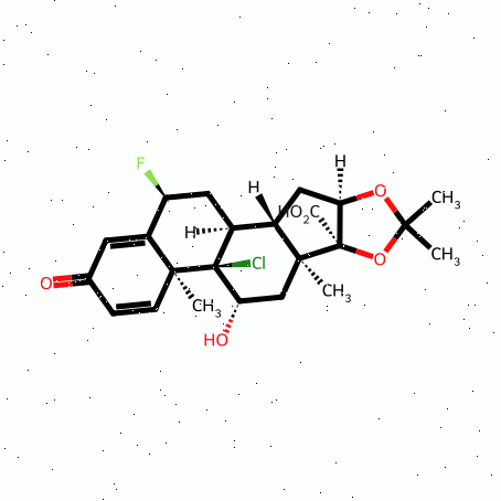 CC1(C)O[C@@H]2C[C@H]3[C@@H]4C[C@H](F)C5=CC(=O)C=C[C@]5(C)[C@@]4(Cl)[C@@H](O)C[C@]3(C)[C@]2(C(=O)O)O1